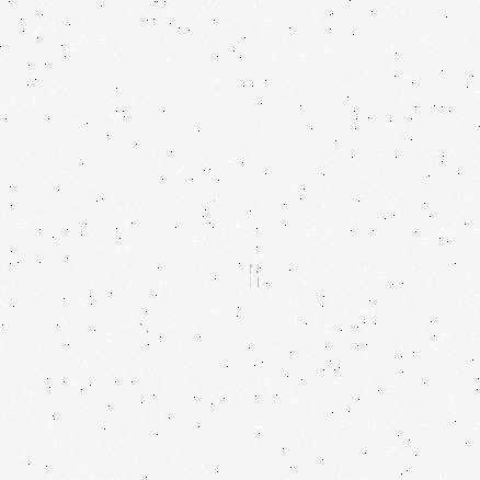 CCC1=C(NC(=O)c2cccnc2C)C(C)=CC=CC1